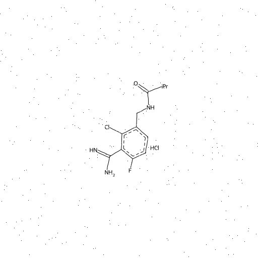 CC(C)C(=O)NCc1ccc(F)c(C(=N)N)c1Cl.Cl